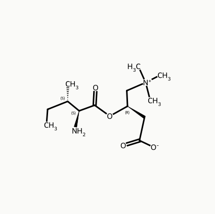 CC[C@H](C)[C@H](N)C(=O)O[C@H](CC(=O)[O-])C[N+](C)(C)C